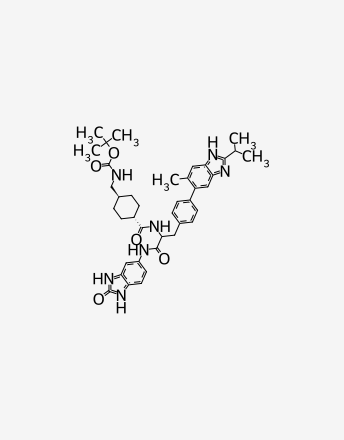 Cc1cc2[nH]c(C(C)C)nc2cc1-c1ccc(CC(NC(=O)[C@H]2CC[C@H](CNC(=O)OC(C)(C)C)CC2)C(=O)Nc2ccc3[nH]c(=O)[nH]c3c2)cc1